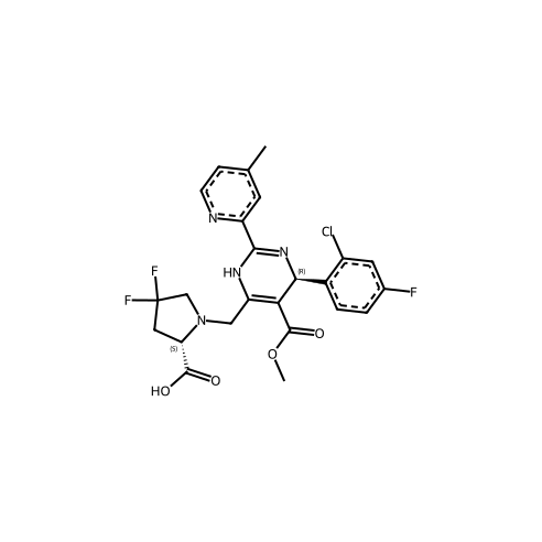 COC(=O)C1=C(CN2CC(F)(F)C[C@H]2C(=O)O)NC(c2cc(C)ccn2)=N[C@H]1c1ccc(F)cc1Cl